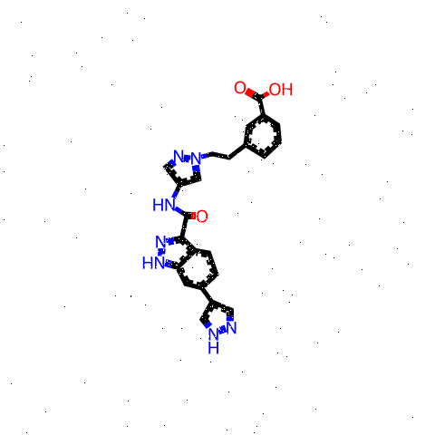 O=C(O)c1cccc(CCn2cc(NC(=O)c3n[nH]c4cc(-c5cn[nH]c5)ccc34)cn2)c1